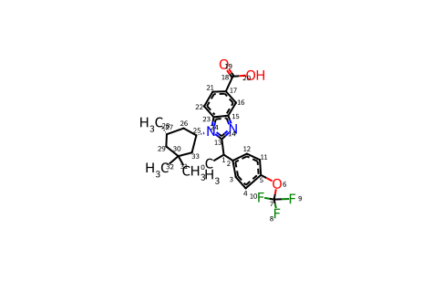 CC(c1ccc(OC(F)(F)F)cc1)c1nc2cc(C(=O)O)ccc2n1[C@H]1C[C@@H](C)CC(C)(C)C1